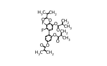 C=C(C)C(=O)Oc1ccc(-c2cc(OC(=O)C(=C)C)c(OC(=O)C(=C)C)c(F)c2F)c(OC(=O)C(=C)C)c1